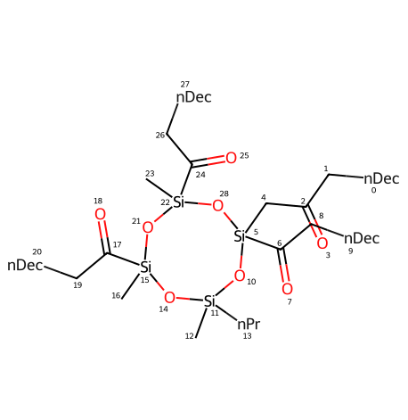 CCCCCCCCCCCC(=O)C[Si]1(C(=O)CCCCCCCCCCC)O[Si](C)(CCC)O[Si](C)(C(=O)CCCCCCCCCCC)O[Si](C)(C(=O)CCCCCCCCCCC)O1